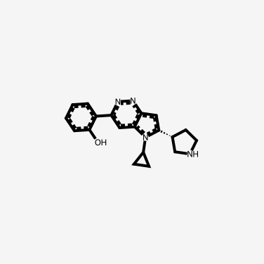 Oc1ccccc1-c1cc2c(cc([C@@H]3CCNC3)n2C2CC2)nn1